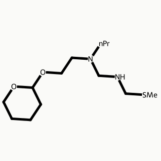 CCCN(CCOC1CCCCO1)CNCSC